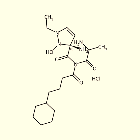 CCN1C=C[C@](N)(C(=O)N(C(=O)CCCC2CCCCC2)C(=O)C(C)N)N1O.Cl